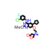 COc1nc(Nc2ccc(F)c(Cl)c2)c2cc(C3CCCC3)c(OCCN(C)C3COC(=O)C3)cc2n1